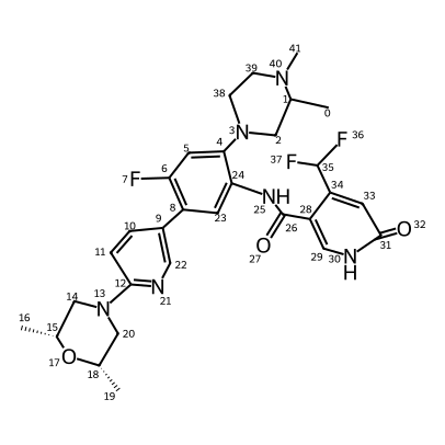 CC1CN(c2cc(F)c(-c3ccc(N4C[C@@H](C)O[C@@H](C)C4)nc3)cc2NC(=O)c2c[nH]c(=O)cc2C(F)F)CCN1C